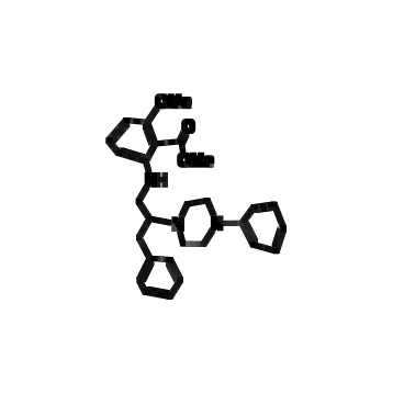 COC(=O)c1c(NCC(Cc2ccccc2)N2CCN(c3ccccc3)CC2)cccc1OC